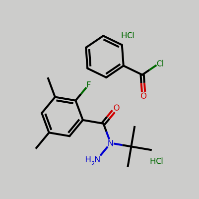 Cc1cc(C)c(F)c(C(=O)N(N)C(C)(C)C)c1.Cl.Cl.O=C(Cl)c1ccccc1